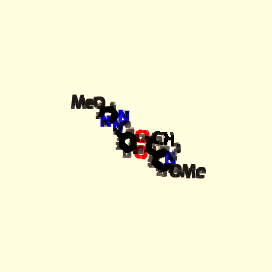 COc1cnc2c(c1)ncn2Cc1ccc2c(c1)OC(C)C(c1ccc(OC)nc1)O2